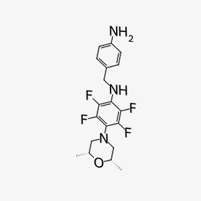 C[C@@H]1CN(c2c(F)c(F)c(NCc3ccc(N)cc3)c(F)c2F)C[C@H](C)O1